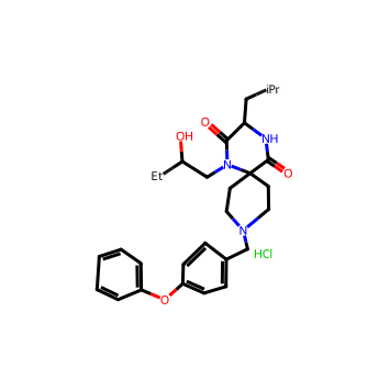 CCC(O)CN1C(=O)C(CC(C)C)NC(=O)C12CCN(Cc1ccc(Oc3ccccc3)cc1)CC2.Cl